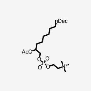 CCCCCCCCCCCCCCCCC(COP(=O)([O-])OCC[N+](C)(C)C)OC(C)=O